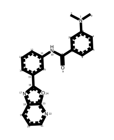 CN(C)c1cccc(C(=O)Nc2cccc(-c3nc4cccnc4o3)c2)c1